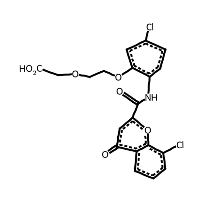 O=C(O)COCCOc1cc(Cl)ccc1NC(=O)c1cc(=O)c2cccc(Cl)c2o1